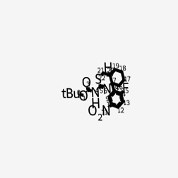 CC(C)(C)OC(=O)NC1=NC2(c3cc([N+](=O)[O-])ccc3F)CCCC[C@H]2CS1